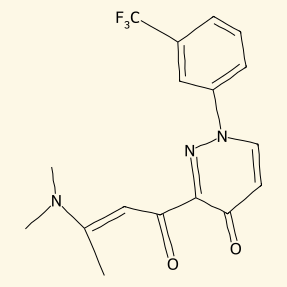 C/C(=C\C(=O)c1nn(-c2cccc(C(F)(F)F)c2)ccc1=O)N(C)C